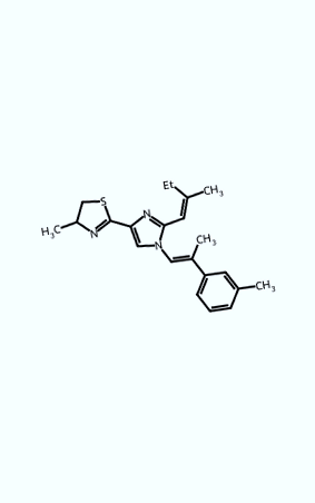 CC/C(C)=C\c1nc(C2=NC(C)CS2)cn1/C=C(\C)c1cccc(C)c1